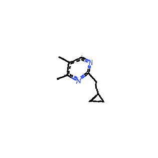 Cc1[c]nc(CC2CC2)nc1C